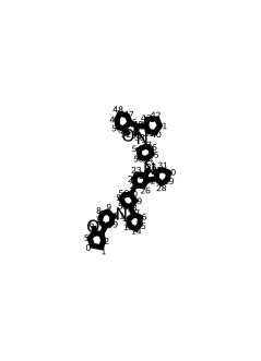 c1ccc2c(c1)oc1ccc(-n3c4ccccc4c4cc(-c5ccc6c(c5)c5ccccc5n6-c5ccc(-n6c7ccccc7c7c8ccccc8oc76)cc5)ccc43)cc12